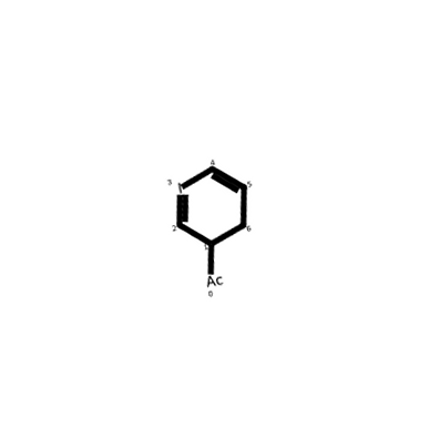 CC(=O)C1C=IC=CC1